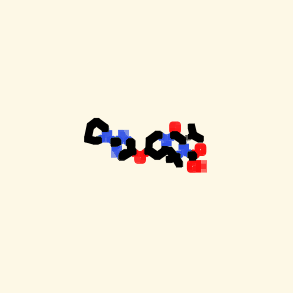 CC(C)[C@@H](C(=O)N1CCC(Oc2cnc(N3CCCCC3)nc2)CC1)N(C(=O)O)C(C)(C)C